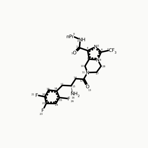 CCCNC(=O)c1nc(C(F)(F)F)n2c1CN(C(=O)C[C@H](N)Cc1cc(F)c(F)cc1F)CC2